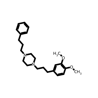 COc1ccc(CCCN2CCN(CCCc3ccccc3)CC2)cc1OC